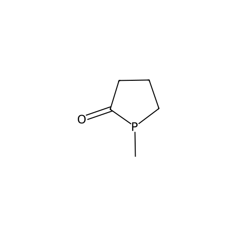 CP1CCCC1=O